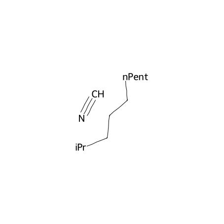 C#N.CCCCCCCCC(C)C